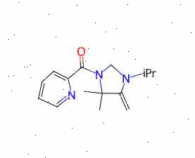 C=C1N(C(C)C)CN(C(=O)c2ccccn2)C1(C)C